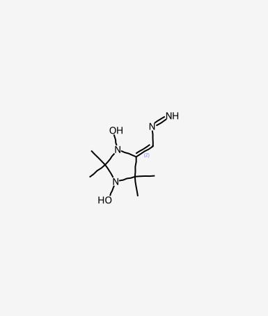 CC1(C)/C(=C/N=N)N(O)C(C)(C)N1O